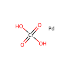 [O]=[Cr](=[O])([OH])[OH].[Pd]